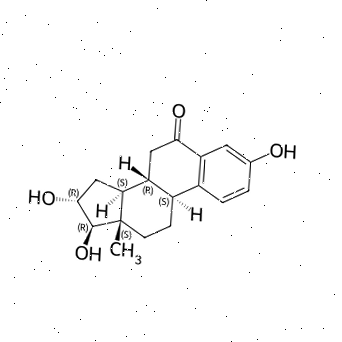 C[C@]12CC[C@@H]3c4ccc(O)cc4C(=O)C[C@H]3[C@@H]1C[C@@H](O)[C@@H]2O